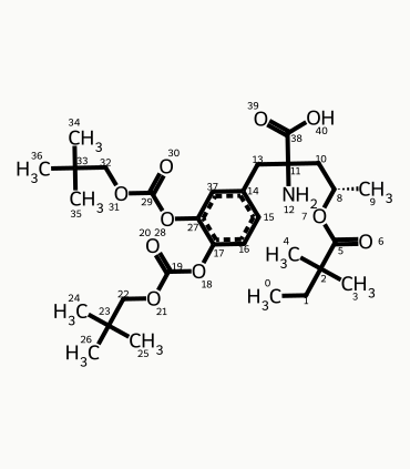 CCC(C)(C)C(=O)O[C@@H](C)CC(N)(Cc1ccc(OC(=O)OCC(C)(C)C)c(OC(=O)OCC(C)(C)C)c1)C(=O)O